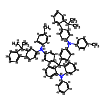 Cc1ccc(N(c2ccc(C3(c4ccc(N(c5ccc(C)cc5)c5ccc6c(c5)C(C)(C)c5ccccc5-6)cc4)c4ccccc4N(c4ccccc4)c4ccccc43)cc2)c2ccc3c(c2)C(C)(C)c2ccccc2-3)cc1